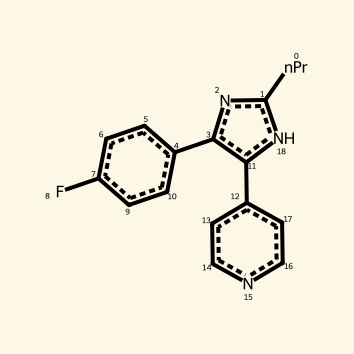 CCCc1nc(-c2ccc(F)cc2)c(-c2ccncc2)[nH]1